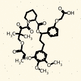 C=CC(=O)OCC(C)(C)C(=O)C(=O)N1CCCC[C@H]1C(=O)OC(CCc1cc(O)c(OC)c(OC)c1)c1cccc(OCC(=O)O)c1